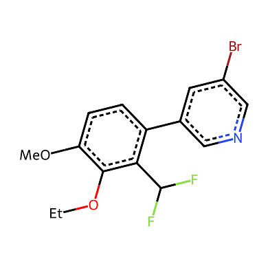 CCOc1c(OC)ccc(-c2cncc(Br)c2)c1C(F)F